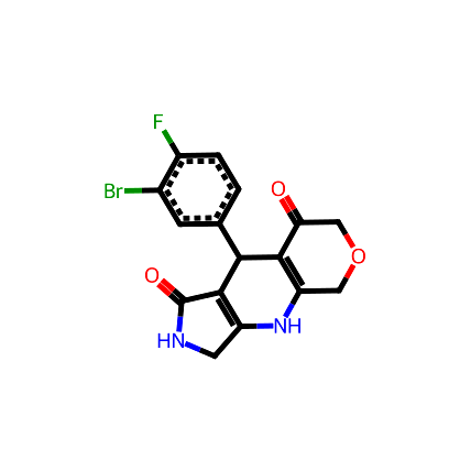 O=C1COCC2=C1C(c1ccc(F)c(Br)c1)C1=C(CNC1=O)N2